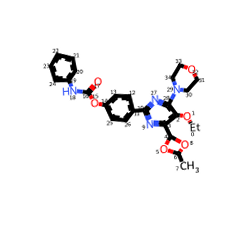 CCOc1c(C2OC(C)O2)nc(-c2ccc(OC(=O)Nc3ccccc3)cc2)nc1N1CCOCC1